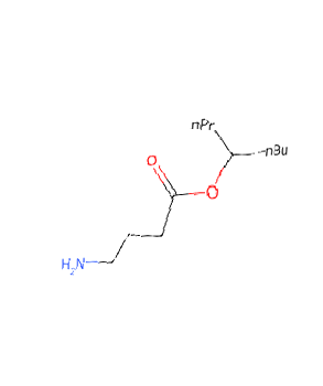 CCCCC(CCC)OC(=O)CCCN